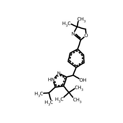 CC(C)c1[nH]nc(C(O)c2ccc(C3=NC(C)(C)CO3)cc2)c1C(C)(C)C